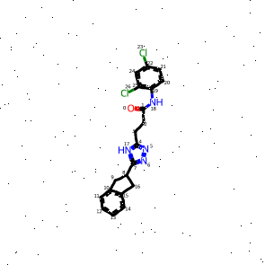 O=C(CCc1nnc(C2Cc3ccccc3C2)[nH]1)Nc1ccc(Cl)cc1Cl